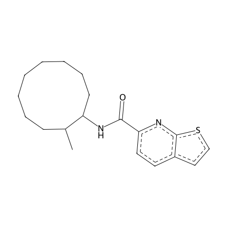 CC1CCCCCCCCC1NC(=O)c1ccc2ccsc2n1